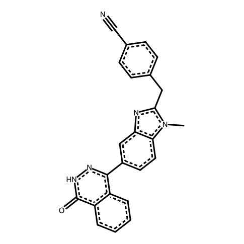 Cn1c(Cc2ccc(C#N)cc2)nc2cc(-c3n[nH]c(=O)c4ccccc34)ccc21